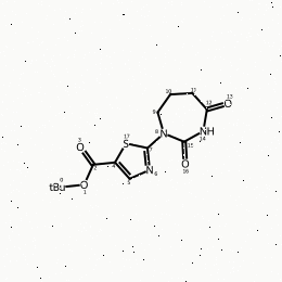 CC(C)(C)OC(=O)c1cnc(N2CCCC(=O)NC2=O)s1